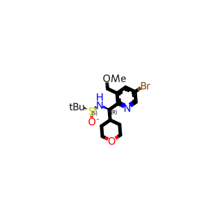 COCc1cc(Br)cnc1[C@H](N[S@+]([O-])C(C)(C)C)C1CCOCC1